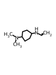 C=CNC1CCC(N(C)C)CC1